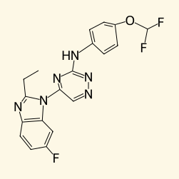 CCc1nc2ccc(F)cc2n1-c1cnnc(Nc2ccc(OC(F)F)cc2)n1